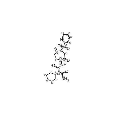 C[C@@H]1CC[C@H](NC(=O)[C@H](C(N)=O)C2CCCCC2)C(=O)CN1S(=O)(=O)c1ccccn1